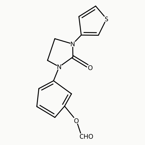 O=COc1cccc(N2CCN(c3ccsc3)C2=O)c1